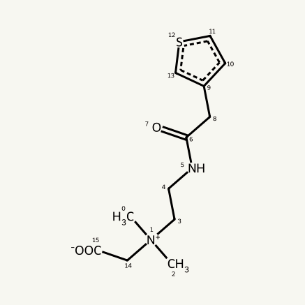 C[N+](C)(CCNC(=O)Cc1ccsc1)CC(=O)[O-]